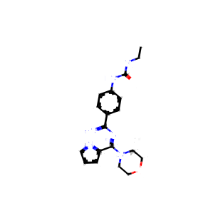 CCNC(=O)Nc1ccc(C(=N)/N=C(\c2ccc[nH]2)N2CCOC[C@H]2C)cc1